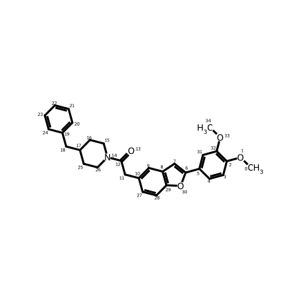 COc1ccc(-c2cc3cc(CC(=O)N4CCC(Cc5ccccc5)CC4)ccc3o2)cc1OC